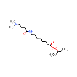 CCC(CC)OOC(=O)CCCCCCCNC(=O)CCCN(C)C